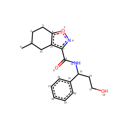 CC1CCc2onc(C(=O)NC(CCO)c3ccccc3)c2C1